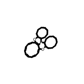 S=P12C3=C(\C=C/C=C\C=C/C=C\C=C3\OC3CCCCCCCCC31)OC1CCCCCCCC12